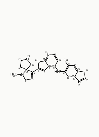 CN1CC=C(c2cc3c(Nc4cc5ncsc5cc4F)ccnc3s2)C12CCOC2